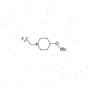 CC(C)(C)OC1CCN(CC(F)(F)F)CC1